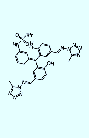 CCCS(=O)(=O)NC1=CC(=C(c2cc(C=Nn3nnnc3C)ccc2O)c2cc(C=Nn3nnnc3C)ccc2O)CC=C1